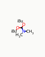 CCC(C)OC(OC(C)CC)N(C)C